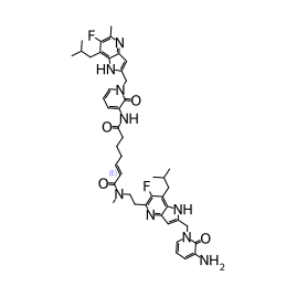 Cc1nc2cc(Cn3cccc(NC(=O)CCC/C=C/C(=O)N(C)CCc4nc5cc(Cn6cccc(N)c6=O)[nH]c5c(CC(C)C)c4F)c3=O)[nH]c2c(CC(C)C)c1F